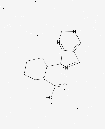 O=C(O)N1CCCCC1n1ncc2cncnc21